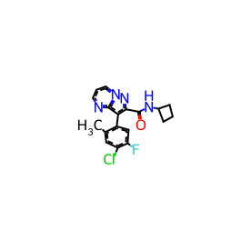 Cc1cc(Cl)c(F)cc1-c1c(C(=O)NC2CCC2)nn2cccnc12